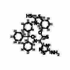 Nc1nc(C(=NOC(c2ccccc2)(c2ccccc2)c2ccccc2)C(=S)Oc2cccc3sc(S)nc23)ns1